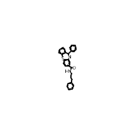 O=C(NCCCc1ccccc1)c1ccc2c(c1)N=C(c1ccccc1)c1ccccc1S2